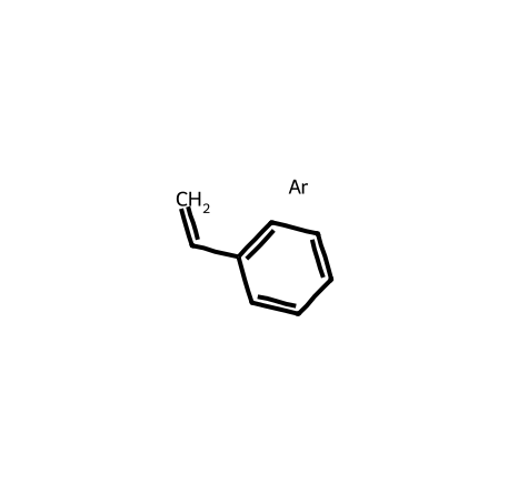 C=Cc1ccccc1.[Ar]